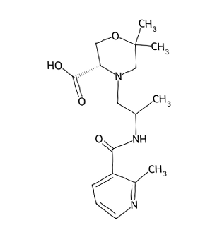 Cc1ncccc1C(=O)NC(C)CN1CC(C)(C)OC[C@H]1C(=O)O